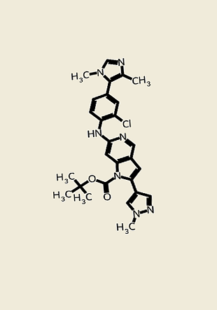 Cc1ncn(C)c1-c1ccc(Nc2cc3c(cn2)cc(-c2cnn(C)c2)n3C(=O)OC(C)(C)C)c(Cl)c1